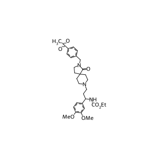 CCOC(=O)NC(CCN1CCC2(CC1)CCN(Cc1ccc(S(C)(=O)=O)cc1)C2=O)c1ccc(OC)c(OC)c1